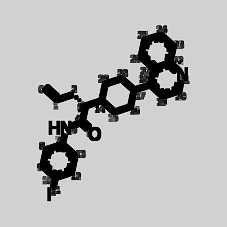 C=CC[C@@H](C(=O)Nc1ccc(F)cc1)C1CCC(c2ccnc3ccccc23)CC1